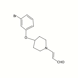 O=CC=CN1CCC(Oc2cccc(Br)c2)CC1